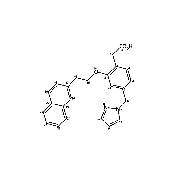 O=C(O)Cc1ccc(Cn2cccn2)cc1OCCc1ccc2ccccc2c1